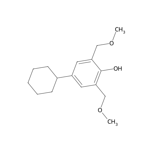 COCc1cc(C2CCCCC2)cc(COC)c1O